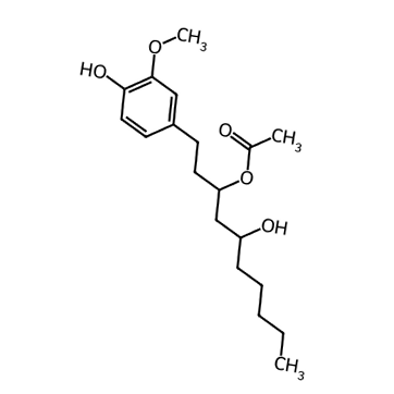 CCCCCC(O)CC(CCc1ccc(O)c(OC)c1)OC(C)=O